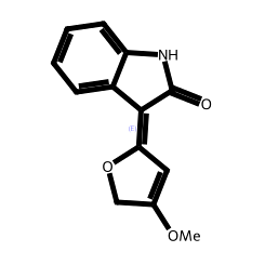 COC1=C/C(=C2\C(=O)Nc3ccccc32)OC1